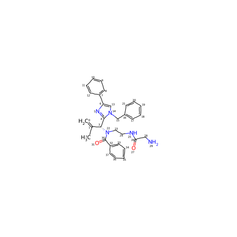 C=C(C)[C@H](c1nc(-c2ccccc2)cn1Cc1ccccc1)N(CCNC(=O)CN)C(=O)c1ccccc1